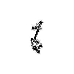 CC(C)(C)OC(=O)/N=C(/NCCCCCCCCn1ccn(CCOc2ccc(C3=NCCCN3C(=O)OC(C)(C)C)cc2)/c1=N/C(=O)C(F)(F)F)NC(=O)OC(C)(C)C